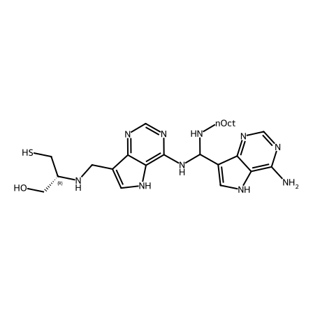 CCCCCCCCNC(Nc1ncnc2c(CN[C@H](CO)CS)c[nH]c12)c1c[nH]c2c(N)ncnc12